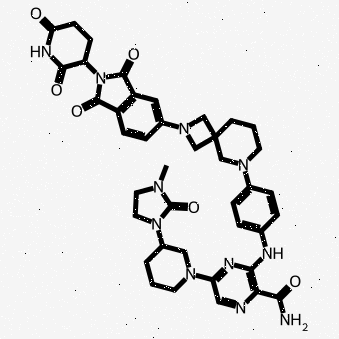 CN1CCN(C2CCCN(c3cnc(C(N)=O)c(Nc4ccc(N5CCCC6(C5)CN(c5ccc7c(c5)C(=O)N(C5CCC(=O)NC5=O)C7=O)C6)cc4)n3)C2)C1=O